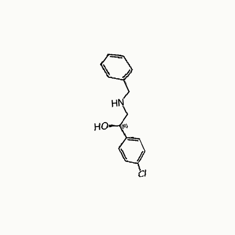 O[C@@H](CNCc1ccccc1)c1ccc(Cl)cc1